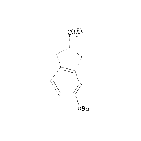 CCCCc1ccc2c(c1)CC(C(=O)OCC)C2